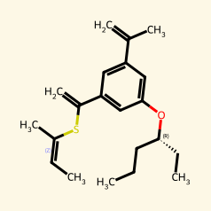 C=C(C)c1cc(O[C@H](CC)CCC)cc(C(=C)S/C(C)=C\C)c1